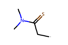 [CH2]CC(=S)N(C)C